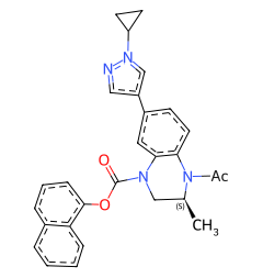 CC(=O)N1c2ccc(-c3cnn(C4CC4)c3)cc2N(C(=O)Oc2cccc3ccccc23)C[C@@H]1C